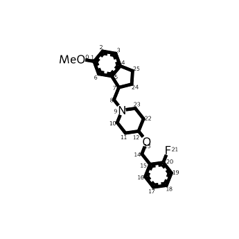 COc1ccc2c(c1)C(CN1CCC(OCc3ccccc3F)CC1)CC2